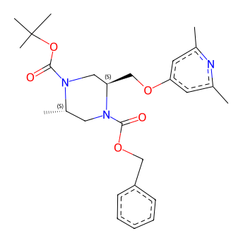 Cc1cc(OC[C@@H]2CN(C(=O)OC(C)(C)C)[C@@H](C)CN2C(=O)OCc2ccccc2)cc(C)n1